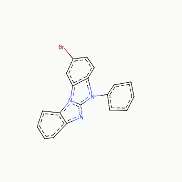 Brc1ccc2c(c1)n1c3ccccc3nc1n2-c1ccccc1